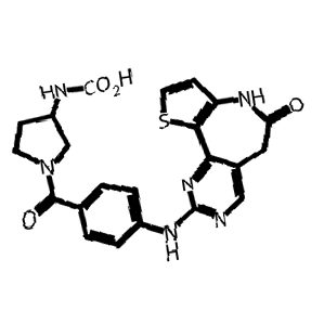 O=C(O)NC1CCN(C(=O)c2ccc(Nc3ncc4c(n3)-c3sccc3NC(=O)C4)cc2)C1